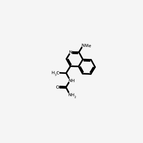 CNc1ncc(C(C)NC(N)=O)c2ccccc12